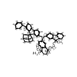 CC1(C)CCC(C)(C)c2cc(N(c3ccc4c(c3)C(C)(C)c3ccccc3-4)c3ccc4c(c3)C3(c5cc(-c6ccccc6)ccc5-4)C4CC5CC6CC3C64C5)ccc21